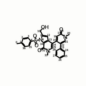 Cc1ccc(S(=O)(=O)n2c(CO)cc3c(-c4cc(=O)n(C)cc4-c4ccccc4)cn(C)c(=O)c32)cc1